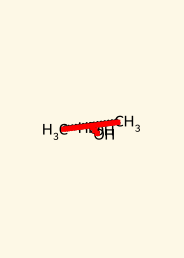 CCCCCCCCCCCCCCCCC(CCCCCCCCCCCCCCC)POCC(O)CO